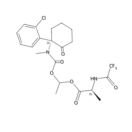 CC(OC(=O)[C@H](C)NC(=O)C(F)(F)F)OC(=O)N(C)[C@]1(c2ccccc2Cl)CCCCC1=O